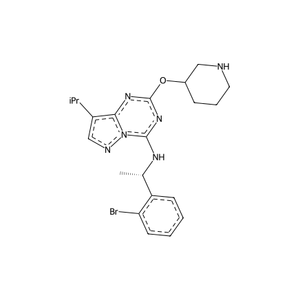 CC(C)c1cnn2c(N[C@@H](C)c3ccccc3Br)nc(OC3CCCNC3)nc12